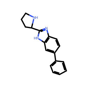 c1ccc(-c2ccc3nc(C4CCCN4)[nH]c3c2)cc1